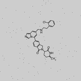 C=C1CCC(N2Cc3cc(-c4cc(CNCCc5ccccc5Cl)cc5cncn45)ccc3C2=O)C(=O)N1